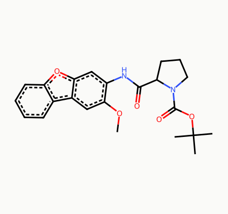 COc1cc2c(cc1NC(=O)C1CCCN1C(=O)OC(C)(C)C)oc1ccccc12